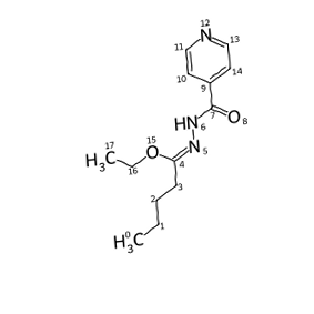 CCCCC(=NNC(=O)c1ccncc1)OCC